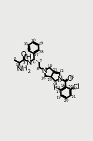 CC(N)C(=O)N[C@@H](CCN1CC2=CN(C(=O)c3c(F)cccc3Cl)CC2C1)c1ccccc1